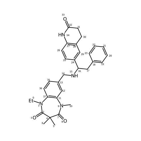 CCN1C(=O)C(C)(C)C(=O)N(C)c2cc(CNC(Cc3ccccc3)c3ccc4c(c3)CCC(=O)N4)ccc21